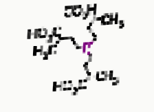 CC(CCP(CCC(C)C(=O)O)CCC(C)C(=O)O)C(=O)O